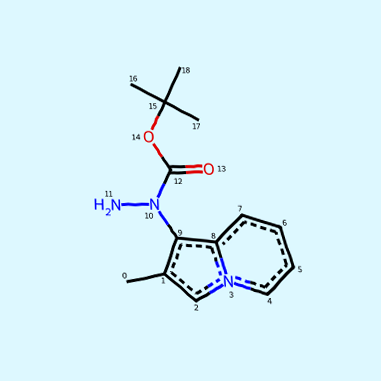 Cc1cn2ccccc2c1N(N)C(=O)OC(C)(C)C